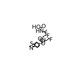 C[C@@H](CCN(CC(F)F)S(=O)(=O)c1ccc2ncsc2c1)NC(=O)O